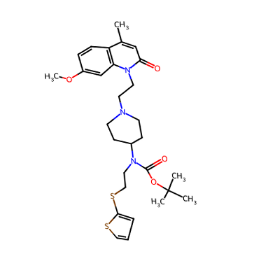 COc1ccc2c(C)cc(=O)n(CCN3CCC(N(CCSc4cccs4)C(=O)OC(C)(C)C)CC3)c2c1